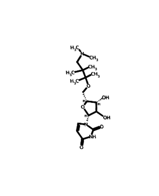 CN(C)CC(C)(C)C(C)(C)OC[C@H]1O[C@@H](n2ccc(=O)[nH]c2=O)C(O)[C@H]1O